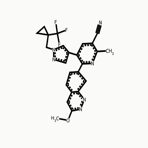 COc1cc2ccc(-c3nc(C)c(C#N)cc3-c3cnn(CC4(C(F)(F)F)CC4)c3)cc2nn1